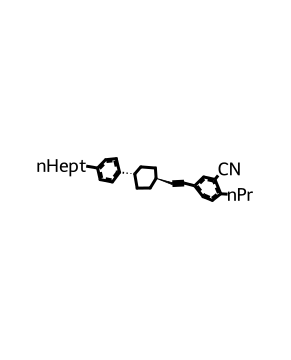 CCCCCCCc1ccc([C@H]2CC[C@H](C#Cc3ccc(CCC)c(C#N)c3)CC2)cc1